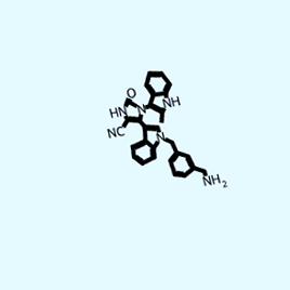 Cc1[nH]c2ccccc2c1-n1c(-c2cn(Cc3cccc(CN)c3)c3ccccc23)c(C#N)[nH]c1=O